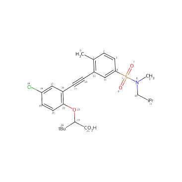 Cc1ccc(S(=O)(=O)N(C)CC(C)C)cc1C#Cc1cc(Cl)ccc1OC(C(=O)O)C(C)(C)C